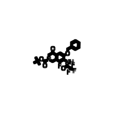 CC(C)(C)OC(=O)N1CC(=O)c2cc(OCc3ccccc3)c(NC(=O)C(F)(F)F)c(F)c2C1